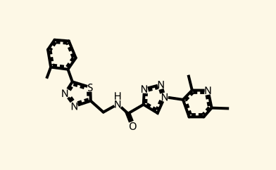 Cc1ccc(-n2cc(C(=O)NCc3nnc(-c4ccccc4C)s3)nn2)c(C)n1